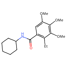 CCc1c(C(=O)NC2CCCCC2)cc(OC)c(OC)c1OC